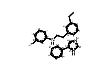 CCc1cccc(CCBc2cccc(F)c2)c1.c1ccc(-c2cnc[nH]2)cc1